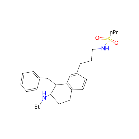 CCCS(=O)(=O)NCCCc1ccc2c(c1)C(Cc1ccccc1)C(NCC)CC2